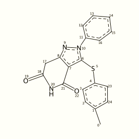 Cc1ccc(Sc2c3c(nn2-c2ccccc2)CC(=O)NC3=O)cc1